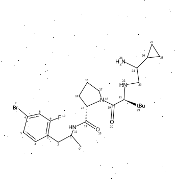 CC(Cc1ccc(Br)cc1F)NC(=O)[C@@H]1CCCN1C(=O)[C@@H](NCC(N)C1CC1)C(C)(C)C